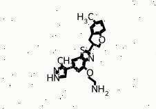 Cc1ccc2c(c1)CC(c1nc3c(OCCN)cc(-c4c[nH]nc4C)cc3s1)CO2